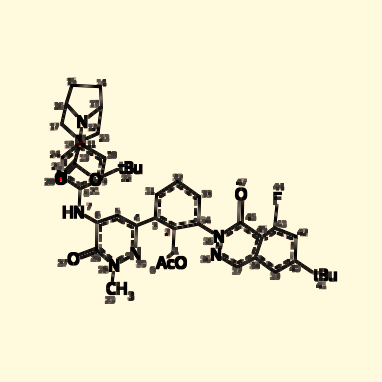 CC(=O)OCc1c(-c2cc(Nc3ccc(N4C5CCC4CN(C(=O)OC(C)(C)C)C5)cn3)c(=O)n(C)n2)cccc1-n1ncc2cc(C(C)(C)C)cc(F)c2c1=O